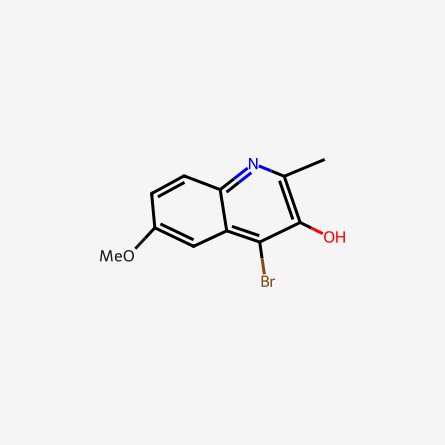 COc1ccc2nc(C)c(O)c(Br)c2c1